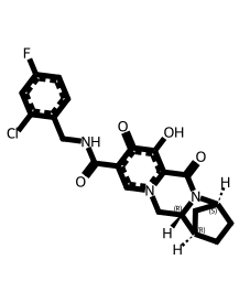 O=C(NCc1ccc(F)cc1Cl)c1cn2c(c(O)c1=O)C(=O)N1[C@H]3CC[C@H](C3)[C@@H]1C2